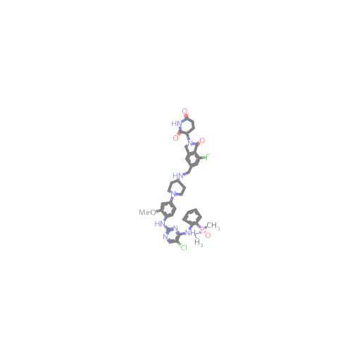 COc1cc(N2CCC(NCc3cc(F)c4c(c3)CN(C3CCC(=O)NC3=O)C4=O)CC2)ccc1Nc1ncc(Cl)c(Nc2ccccc2P(C)(C)=O)n1